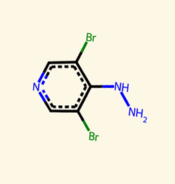 NNc1c(Br)cncc1Br